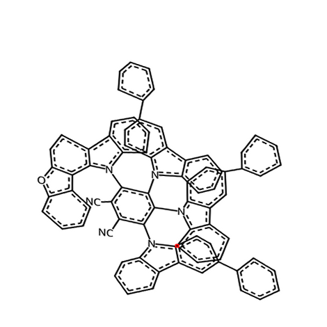 N#Cc1c(C#N)c(-n2c3ccccc3c3ccc4oc5ccccc5c4c32)c(-n2c3ccccc3c3cc(-c4ccccc4)ccc32)c(-n2c3ccccc3c3cc(-c4ccccc4)ccc32)c1-n1c2ccccc2c2cc(-c3ccccc3)ccc21